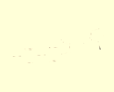 CCc1ccc(-c2ccc3sc(CCN4CCC[C@H]4C)nc3c2)cc1